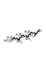 CC(=O)CCC=C(C)CCC=C(C)CCC=C(C)CCC=C(C)CCC=C(C)CCC=C(C)CC(=O)O